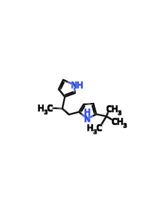 CC(Cc1ccc(C(C)(C)C)[nH]1)c1cc[nH]c1